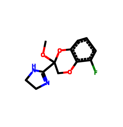 COC1(C2=NCCN2)COc2c(F)cccc2O1